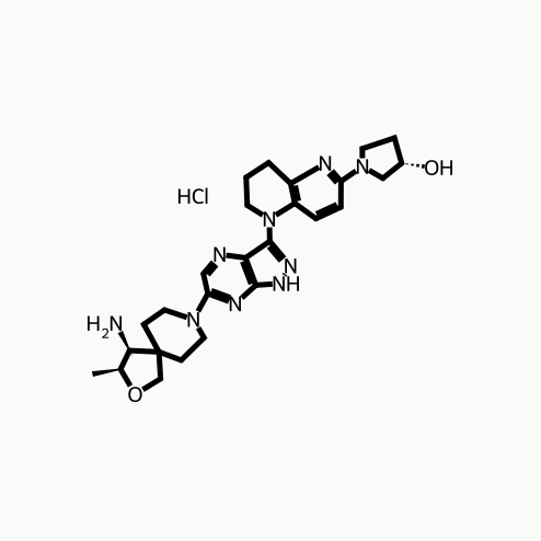 C[C@@H]1OCC2(CCN(c3cnc4c(N5CCCc6nc(N7CC[C@H](O)C7)ccc65)n[nH]c4n3)CC2)[C@@H]1N.Cl